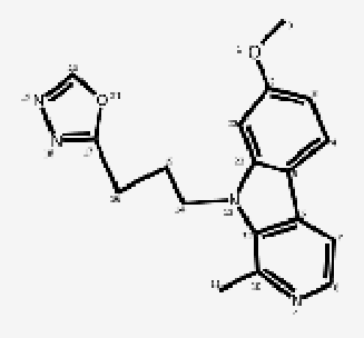 COc1ccc2c3ccnc(C)c3n(CCCc3nnco3)c2c1